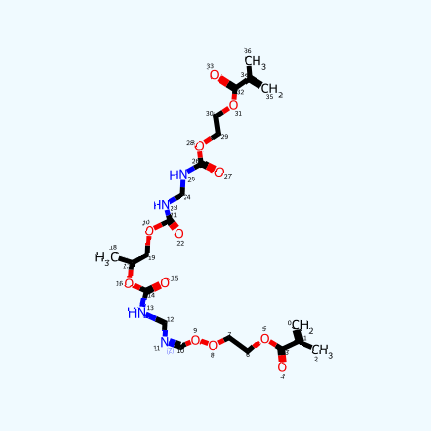 C=C(C)C(=O)OCCOO/C=N\CNC(=O)OC(C)COC(=O)NCNC(=O)OCCOC(=O)C(=C)C